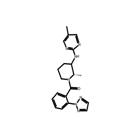 Cc1cnc(NC2CCCN(C(=O)c3ccccc3-n3nccn3)[C@H]2C)nc1